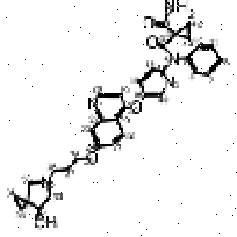 NC(=O)C1(C(=O)N(c2ccccc2)c2ccc(Oc3ccnc4cc(OCCCN5CC(O)C6(CC6)C5)ccc34)cn2)CC1